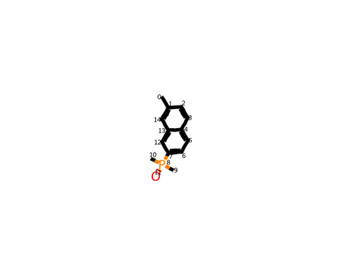 Cc1ccc2ccc(P(C)(C)=O)cc2c1